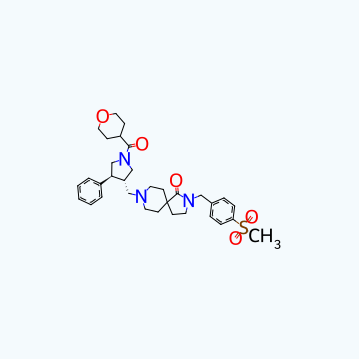 CS(=O)(=O)c1ccc(CN2CCC3(CCN(C[C@H]4CN(C(=O)C5CCOCC5)C[C@@H]4c4ccccc4)CC3)C2=O)cc1